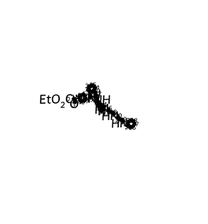 CCOC(=O)CC(=O)N1CCN(c2nc(NCc3cn(CCCNCCCNC4CCCCC4)nn3)nc3ccccc23)CC1